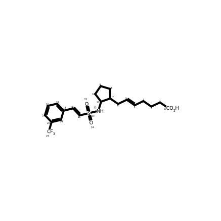 O=C(O)CCCC=CCC1CCCC1NS(=O)(=O)C=Cc1cccc(C(F)(F)F)c1